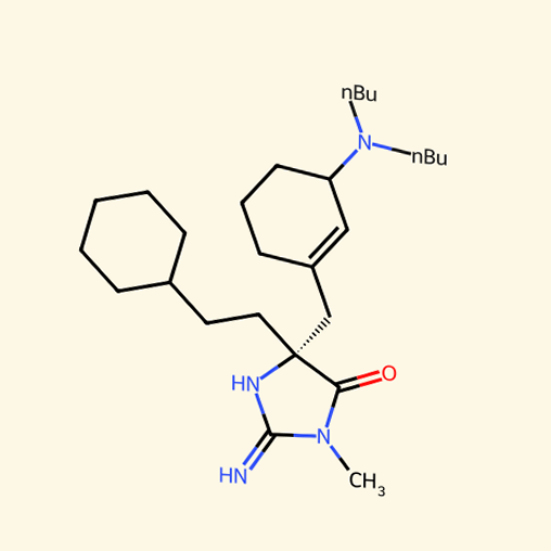 CCCCN(CCCC)C1C=C(C[C@@]2(CCC3CCCCC3)NC(=N)N(C)C2=O)CCC1